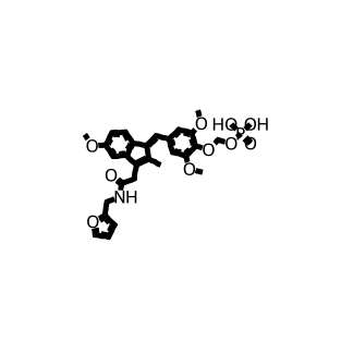 COc1ccc2c(c1)C(CC(=O)NCc1ccco1)=C(C)C2=Cc1cc(OC)c(OCOP(=O)(O)O)c(OC)c1